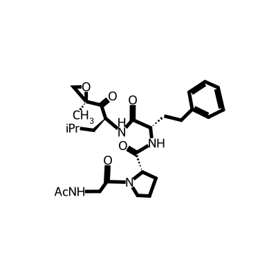 CC(=O)NCC(=O)N1CCC[C@H]1C(=O)N[C@@H](CCc1ccccc1)C(=O)N[C@@H](CC(C)C)C(=O)[C@@]1(C)CO1